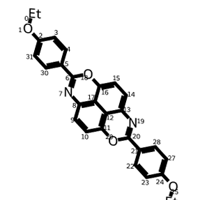 CCOc1ccc(C2=Nc3ccc4c5c(ccc(c35)O2)N=C(c2ccc(OCC)cc2)O4)cc1